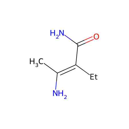 CCC(C(N)=O)=C(C)N